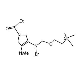 CCC(=O)N1CC(NC)=C(N(Br)COCC[Si](C)(C)C)C1